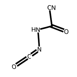 N#CC(=O)NN=C=O